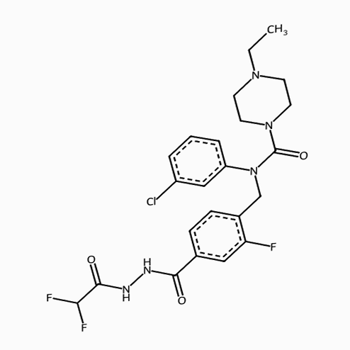 CCN1CCN(C(=O)N(Cc2ccc(C(=O)NNC(=O)C(F)F)cc2F)c2cccc(Cl)c2)CC1